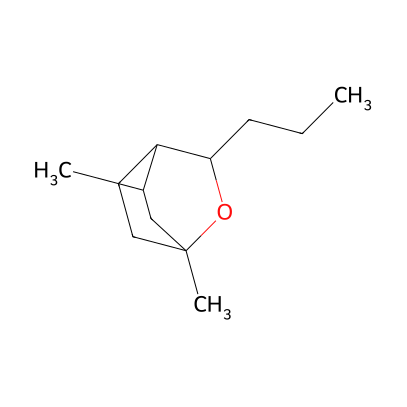 CCCC1OC2(C)CCC1C(C)C2